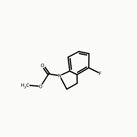 COC(=O)N1CCc2c(F)cccc21